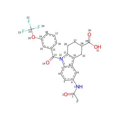 CC(=O)Nc1ccc2c(c1)c1c(n2C(=O)c2cccc(OC(F)(F)F)c2)CCC(C(=O)O)C1